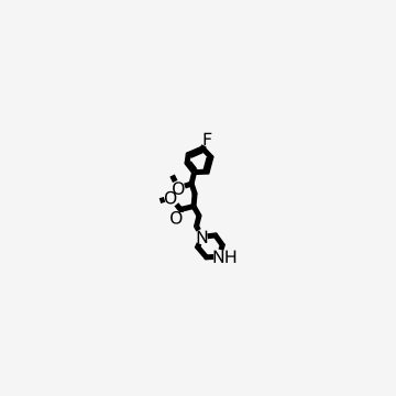 COC(=O)C(CCN1CCNCC1)CC(OC)c1ccc(F)cc1